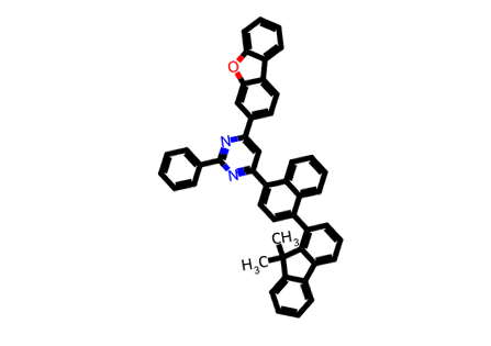 CC1(C)c2ccccc2-c2cccc(-c3ccc(-c4cc(-c5ccc6c(c5)oc5ccccc56)nc(-c5ccccc5)n4)c4ccccc34)c21